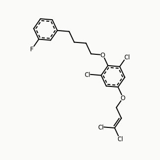 Fc1cccc(CCCCOc2c(Cl)cc(OCC=C(Cl)Cl)cc2Cl)c1